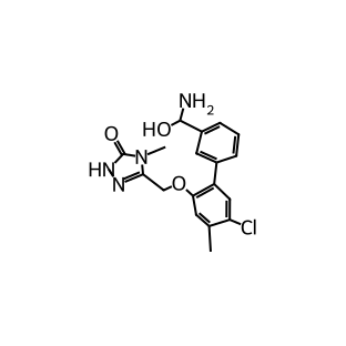 Cc1cc(OCc2n[nH]c(=O)n2C)c(-c2cccc(C(N)O)c2)cc1Cl